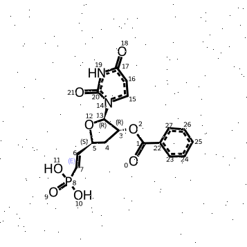 O=C(O[C@@H]1C[C@@H](/C=C/P(=O)(O)O)O[C@H]1n1ccc(=O)[nH]c1=O)c1ccccc1